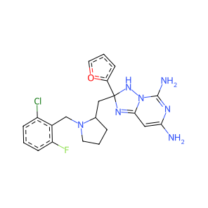 NC1=CC2=NC(CC3CCCN3Cc3c(F)cccc3Cl)(c3ccco3)NN2C(N)=N1